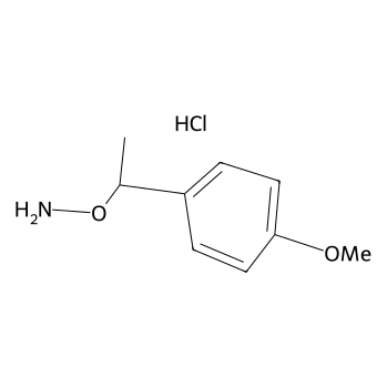 COc1ccc(C(C)ON)cc1.Cl